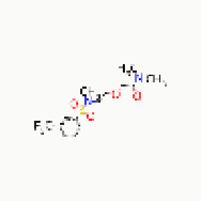 CN(C)C(=O)COCCN(C)S(=O)(=O)c1cccc(C(F)(F)F)c1